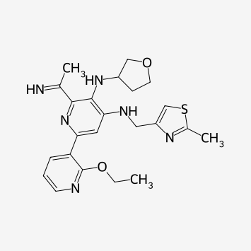 CCOc1ncccc1-c1cc(NCc2csc(C)n2)c(NC2CCOC2)c(C(C)=N)n1